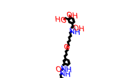 O=C(NCc1ccccc1)NCc1cccc(CCCCOCCCCCCNC[C@H](O)c2ccc(O)c(CO)c2)c1